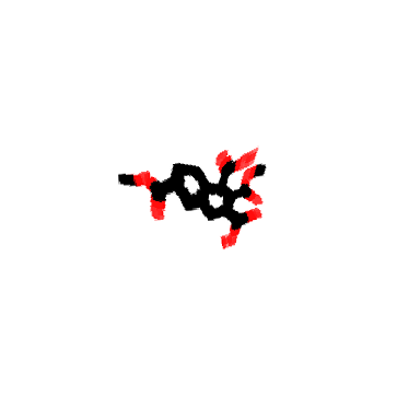 COC(=O)c1ccc2c(C(=O)O)c(C(=O)OC)c(C(=O)O)cc2c1